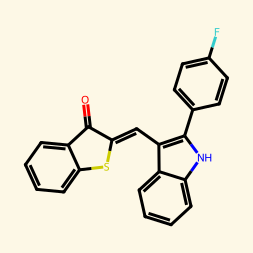 O=C1C(=Cc2c(-c3ccc(F)cc3)[nH]c3ccccc23)Sc2ccccc21